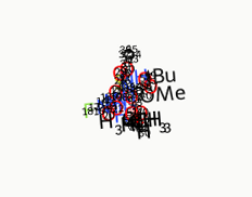 COc1c(CC(NC(=O)C(NC(=O)N2CCN(CCF)C(=O)C2=O)c2csc(NC(=O)OCc3ccccc3)n2)B2OC3C[C@@H]4C[C@@H](C4(C)C)[C@]3(C)O2)cccc1C(=O)OC(C)(C)C